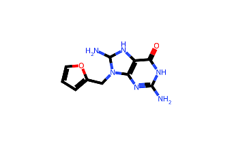 Nc1nc2c(c(=O)[nH]1)NC(N)N2Cc1ccco1